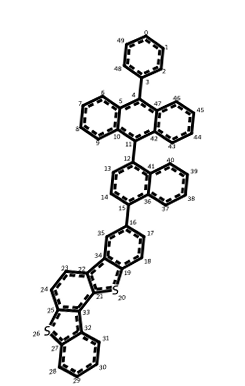 c1ccc(-c2c3ccccc3c(-c3ccc(-c4ccc5sc6c(ccc7sc8ccccc8c76)c5c4)c4ccccc34)c3ccccc23)cc1